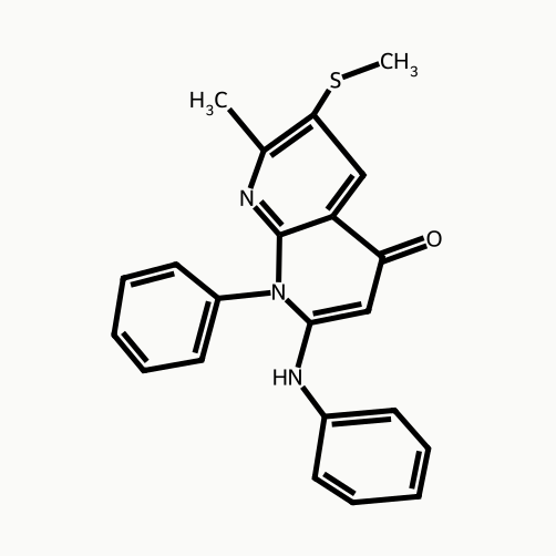 CSc1cc2c(=O)cc(Nc3ccccc3)n(-c3ccccc3)c2nc1C